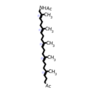 CC(=O)CC/C=C(\C)CC/C=C(\C)CC/C=C(\C)CC/C=C(\C)CC/C=C(\C)CNC(C)=O